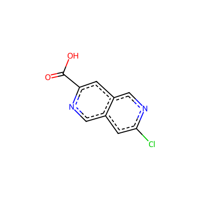 O=C(O)c1cc2cnc(Cl)cc2cn1